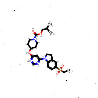 CCS(=O)(=O)c1ccc2c(c1)CCN2c1cc(OC2CCN(C(=O)OCC(C)C)CC2)ncn1